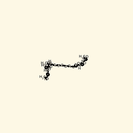 Cc1ncsc1-c1ccc(CNC(=O)[C@@H]2CCCN2C(=O)C(NC(=O)CCOCCOCCOCCOCCOCCOc2ccc(C(=O)Nc3ccc4oc(-c5ccc(=O)n(C)n5)nc4c3)nc2)C(C)(C)C)cc1